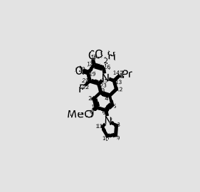 COc1cc2c(cc1N1CCCC1)CC(C(C)C)n1cc(C(=O)O)c(=O)c(F)c1-2